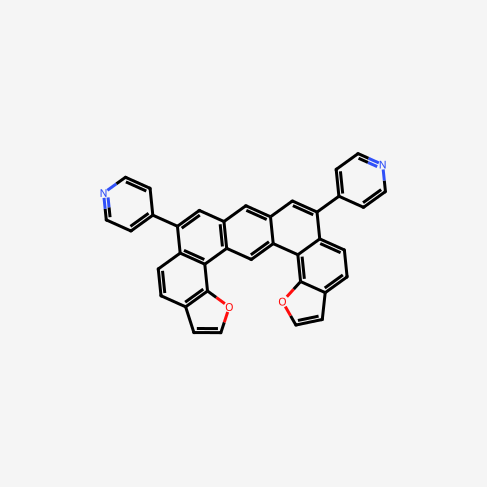 c1cc(-c2cc3cc4cc(-c5ccncc5)c5ccc6ccoc6c5c4cc3c3c2ccc2ccoc23)ccn1